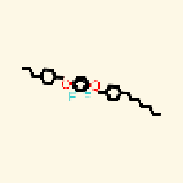 CCCCCCCC1CCC(COc2ccc(OCC3CCC(CCC)CC3)c(F)c2F)CC1